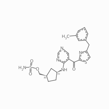 Cc1cccc(Cc2csc(C(=O)c3cncnc3N[C@H]3CC[C@@H](COS(N)(=O)=O)C3)n2)c1